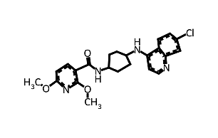 COc1ccc(C(=O)NC2CCC(Nc3ccnc4cc(Cl)ccc34)CC2)c(OC)n1